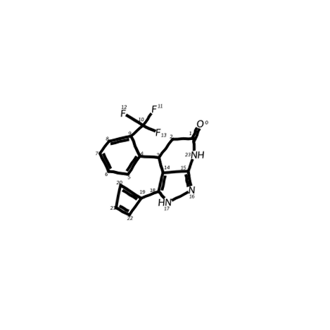 O=C1CC(c2ccccc2C(F)(F)F)c2c(n[nH]c2C2=CC=C2)N1